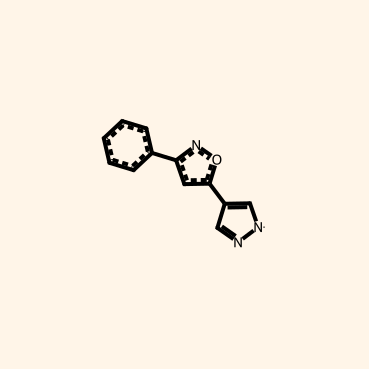 C1=N[N]C=C1c1cc(-c2ccccc2)no1